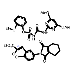 CCOC(=O)/C(Cl)=C/c1cc(N2C(=O)C3=C(CCCC3)C2=O)ccc1Cl.CCOc1ccccc1OS(=O)(=O)NC(=O)Nc1nc(OC)cc(OC)n1